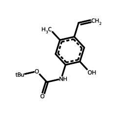 C=Cc1cc(O)c(NC(=O)OC(C)(C)C)cc1C